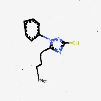 CCCCCCCCCCCCc1nc(S)nn1-c1ccccc1